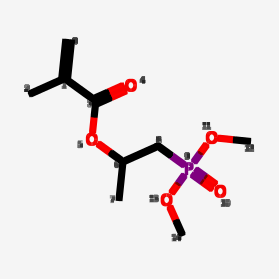 C=C(C)C(=O)OC(C)CP(=O)(OC)OC